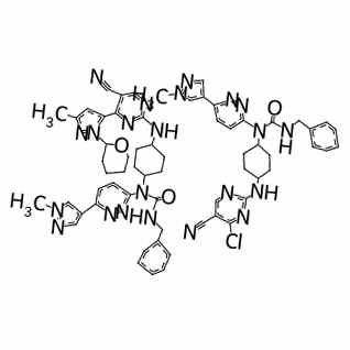 Cc1cc(-c2nc(NC3CCC(N(C(=O)NCc4ccccc4)c4ccc(-c5cnn(C)c5)nn4)CC3)ncc2C#N)n(C2CCCCO2)n1.Cn1cc(-c2ccc(N(C(=O)NCc3ccccc3)C3CCC(Nc4ncc(C#N)c(Cl)n4)CC3)nn2)cn1